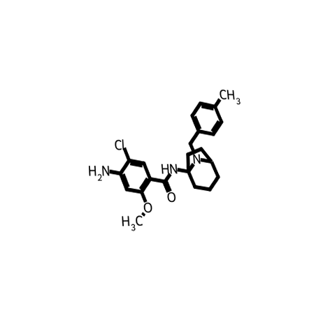 COc1cc(N)c(Cl)cc1C(=O)NC12CCCC(CC1)N2Cc1ccc(C)cc1